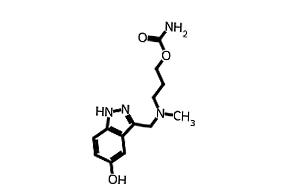 CN(CCCOC(N)=O)Cc1n[nH]c2ccc(O)cc12